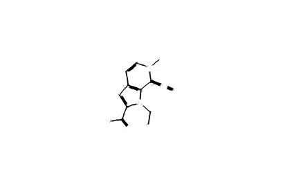 CCn1c(C(N)=O)cc2c1C(=C=O)N(C)C=C2